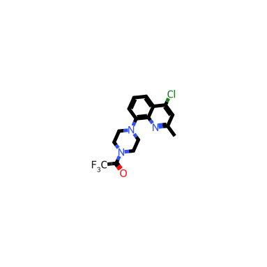 Cc1cc(Cl)c2cccc(N3CCN(C(=O)C(F)(F)F)CC3)c2n1